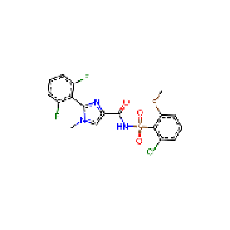 CSc1cccc(Cl)c1S(=O)(=O)NC(=O)c1cn(C)c(-c2c(F)cccc2F)n1